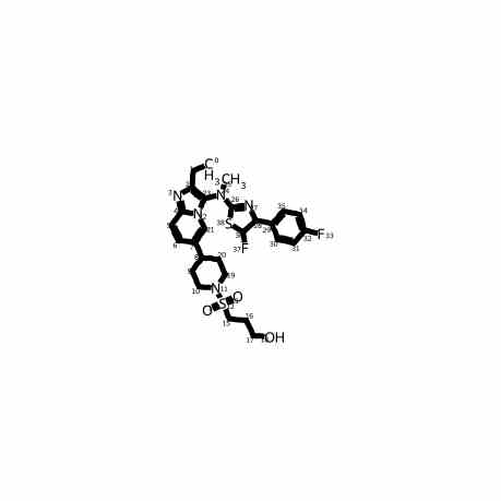 CCc1nc2ccc(C3CCN(S(=O)(=O)CCCO)CC3)cn2c1N(C)C1=NC(c2ccc(F)cc2)C(F)S1